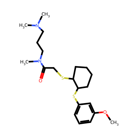 COc1cccc(SC2CCCCC2SCC(=O)N(C)CCCN(C)C)c1